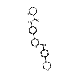 O=C(Nc1ccc(-c2ccnc(Nc3ccc(N4CCOCC4)cc3)n2)cc1)C1CCCCN1